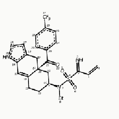 C=CC(=N)S(=O)(=O)N(CC)[C@H]1CCC2=Cc3[nH]ncc3C[C@]2(C(=O)c2ccc(C(F)(F)F)cn2)C1